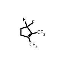 FC(F)(F)C1=C(C(F)(F)F)C(F)(F)CC1